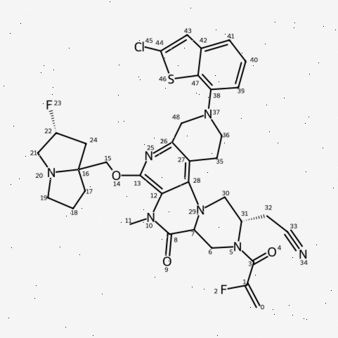 C=C(F)C(=O)N1CC2C(=O)N(C)c3c(OCC45CCCN4C[C@H](F)C5)nc4c(c3N2C[C@@H]1CC#N)CCN(c1cccc2cc(Cl)sc12)C4